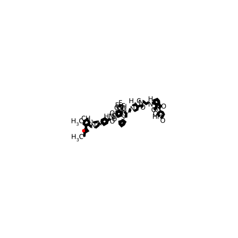 CCC12CC(C3=C(CN4CCN(c5ccc(C(=O)NS(=O)(=O)c6ccc(N[C@H](CCN7CCC(C(=O)N(C)CCCNc8cccc9c8C(=O)N(C8CCC(=O)NC8=O)C9=O)CC7)CSc7ccccc7)c(S(=O)(=O)C(F)(F)F)c6)cc5)CC4)CCC(C)(C)C3)(C1)C2